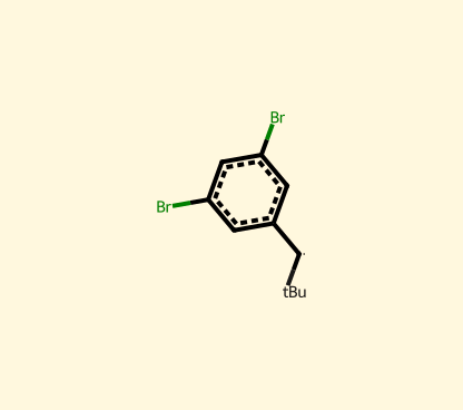 CC(C)(C)[CH]c1cc(Br)cc(Br)c1